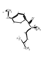 COC1=CC=C(C(=O)N(C)CCC(C)C)CC1